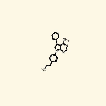 Nc1ncnc2c1c(-c1ccccc1)cn2-c1ccc(CCO)cc1